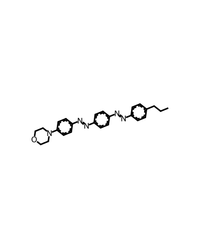 CCCc1ccc(N=Nc2ccc(N=Nc3ccc(N4CCOCC4)cc3)cc2)cc1